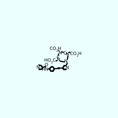 O=C(O)CN1CCN(CC(=O)O)CCN(Cc2cc(C#Cc3ccc(NC(=O)c4ccncc4)cc3)ccn2)CCN(CC(=O)O)CC1